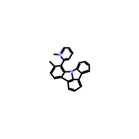 Cc1ccc2c3cccc4c5ccccc5n(c2c1-c1cccc[n+]1C)c43